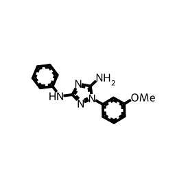 COc1cccc(-n2nc(Nc3ccccc3)nc2N)c1